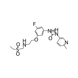 CCS(=O)(=O)CNCCOc1cc(F)cc(NC(=O)Nc2ccc(C)nc2)c1